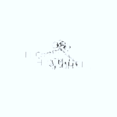 CC(C)[CH2][Sn+2][CH2]C(C)C.CCCCCCCC/C(C(=O)[O-])=C(\CCCCCCCC)C(=O)[O-]